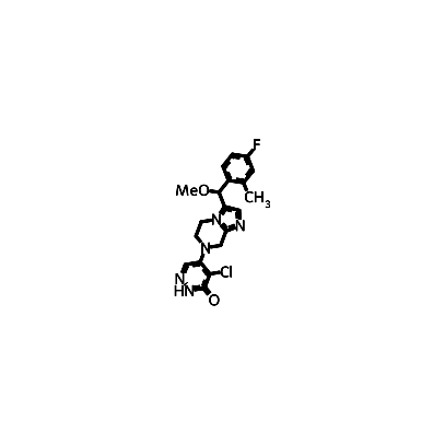 COC(c1ccc(F)cc1C)c1cnc2n1CCN(c1cn[nH]c(=O)c1Cl)C2